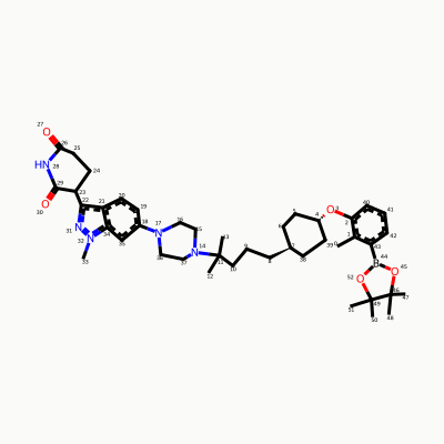 Cc1c(O[C@H]2CC[C@H](CCCC(C)(C)N3CCN(c4ccc5c(C6CCC(=O)NC6=O)nn(C)c5c4)CC3)CC2)cccc1B1OC(C)(C)C(C)(C)O1